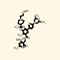 CCCOCCN1CCC(C2(C)Oc3c(-c4ccc(N5CC(C)OC(C)C5)nc4)cc(C(=O)NCc4c(SC)cc(C)[nH]c4=O)c(C)c3O2)CC1